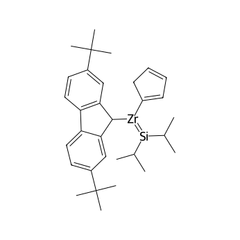 CC(C)[Si](C(C)C)=[Zr]([C]1=CC=CC1)[CH]1c2cc(C(C)(C)C)ccc2-c2ccc(C(C)(C)C)cc21